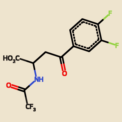 O=C(CC(NC(=O)C(F)(F)F)C(=O)O)c1ccc(F)c(F)c1